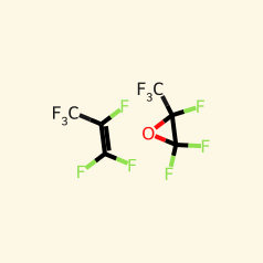 FC(F)(F)C1(F)OC1(F)F.FC(F)=C(F)C(F)(F)F